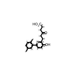 Cc1ccc(C)c(-c2ccc(O)c(CCC(=O)CCC(=O)O)n2)c1